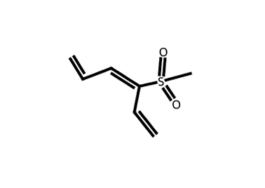 C=C/C=C(\C=C)S(C)(=O)=O